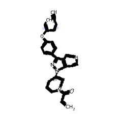 C#C/C=C\C(=C/C)Oc1ccc(-c2nn([C@@H]3CCCN(C(=O)C=C)C3)c3ccncc23)cc1